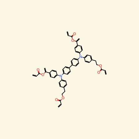 C=CC(=O)OCCc1ccc(N(c2ccc(C(=C)OC(=O)C=C)cc2)c2ccc(-c3ccc(N(c4ccc(CCOC(=O)C=C)cc4)c4ccc(C(=C)OC(=O)C=C)cc4)cc3)cc2)cc1